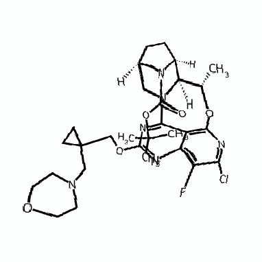 C[C@@H]1Oc2nc(Cl)c(F)c3nc(OCC4(CN5CCOCC5)CC4)nc(c23)N2C[C@H]3CC[C@@H]([C@@H]12)N3C(=O)OC(C)(C)C